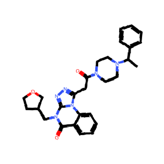 CC(c1ccccc1)N1CCN(C(=O)Cc2nnc3n(CC4CCOC4)c(=O)c4ccccc4n23)CC1